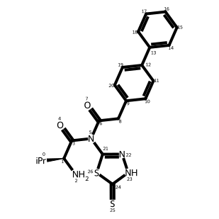 CC(C)[C@H](N)C(=O)N(C(=O)Cc1ccc(-c2ccccc2)cc1)c1n[nH]c(=S)s1